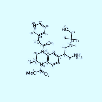 COC(=O)N1c2ccc(C(CN)CNC(C)(C)CO)cc2N(C(=O)Oc2cccnc2)C[C@@H]1C